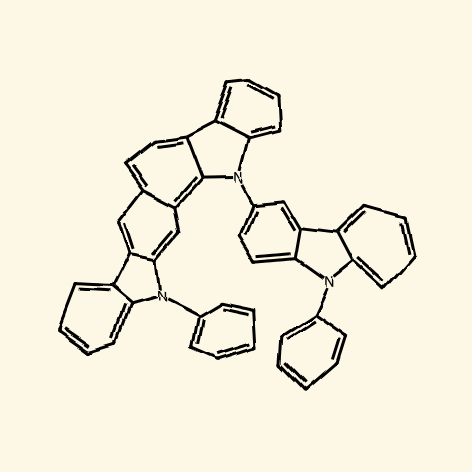 c1ccc(-n2c3ccccc3c3cc(-n4c5ccccc5c5ccc6cc7c8ccccc8n(-c8ccccc8)c7cc6c54)ccc32)cc1